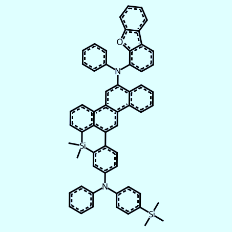 C[Si](C)(C)c1ccc(N(c2ccccc2)c2ccc3c(c2)[Si](C)(C)c2cccc4c2c-3cc2c3ccccc3c(N(c3ccccc3)c3cccc5c3oc3ccccc35)cc42)cc1